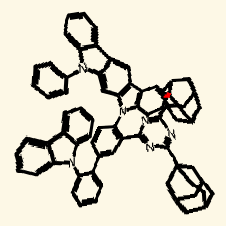 C1=Cc2c(n(-c3ccc(-c4ccccc4-n4c5ccccc5c5ccccc54)cc3-c3nc(C45CC6CC(CC(C6)C4)C5)nc(C45CC6CC(CC(C6)C4)C5)n3)c3cc4c(cc23)c2ccccc2n4-c2ccccc2)CC1